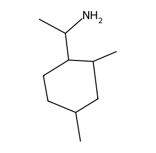 CC1CCC(C(C)N)C(C)C1